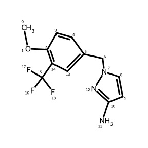 COc1ccc(Cn2ccc(N)n2)cc1C(F)(F)F